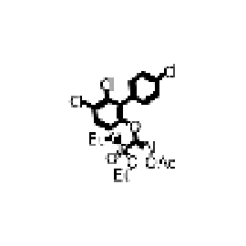 CCOP(=O)(OCC)C(=NOC(C)=O)Oc1ccc(Cl)c(Cl)c1-c1ccc(Cl)cc1